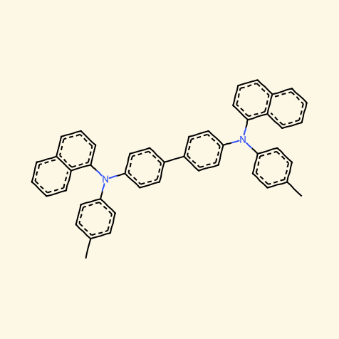 Cc1ccc(N(c2ccc(-c3ccc(N(c4ccc(C)cc4)c4cccc5ccccc45)cc3)cc2)c2cccc3ccccc23)cc1